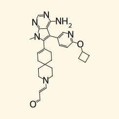 Cn1c(C2=CCC3(CC2)CCN(C=CC=O)CC3)c(-c2ccc(OC3CCC3)nc2)c2c(N)ncnc21